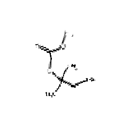 CC(C)(C)CC(C)(C)OC(=O)OP